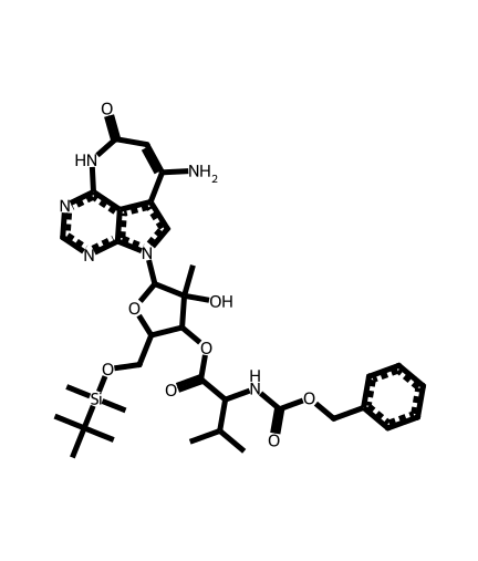 CC(C)C(NC(=O)OCc1ccccc1)C(=O)OC1C(CO[Si](C)(C)C(C)(C)C)OC(n2cc3c4c(ncnc42)NC(=O)C=C3N)C1(C)O